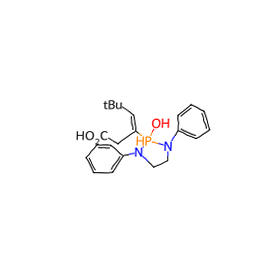 CC(C)(C)/C=C(\CC(=O)O)[PH]1(O)N(c2ccccc2)CCN1c1ccccc1